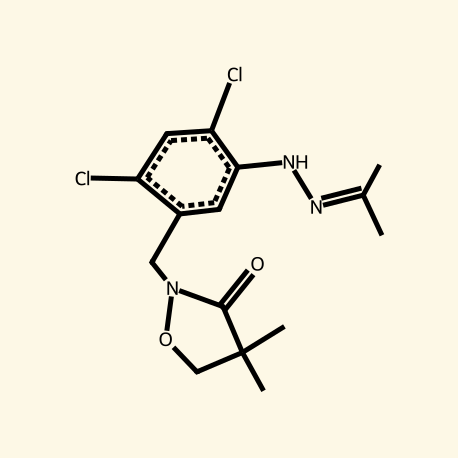 CC(C)=NNc1cc(CN2OCC(C)(C)C2=O)c(Cl)cc1Cl